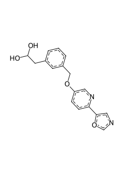 OC(O)Cc1cccc(COc2ccc(-c3cnco3)nc2)c1